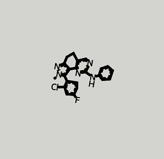 Cn1nc2c(c1-c1ccc(F)cc1Cl)-c1nc(Nc3ccccc3)ncc1CC2